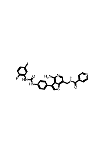 Nc1ncc(CNC(=O)c2ccncc2)c2scc(-c3ccc(NC(=O)Nc4cc(I)ccc4F)cc3)c12